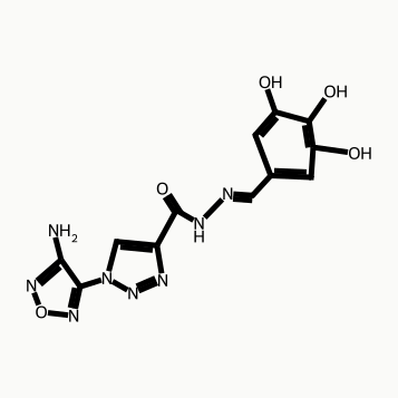 Nc1nonc1-n1cc(C(=O)NN=Cc2cc(O)c(O)c(O)c2)nn1